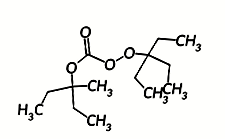 CCC(C)(CC)OC(=O)OOC(CC)(CC)CC